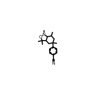 CC1CC(C)(c2ccc(C#N)cc2)CC2C1N(C)OC2(C)C